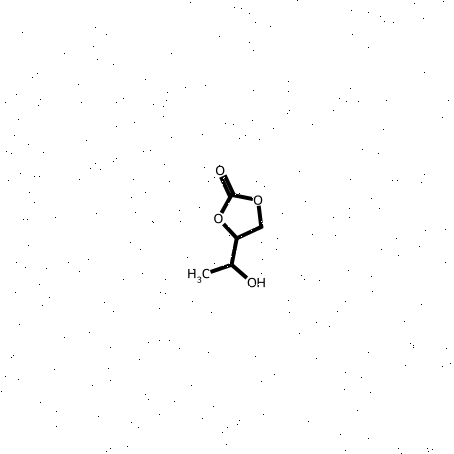 CC(O)C1COC(=O)O1